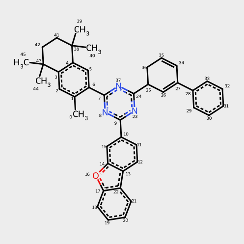 Cc1cc2c(cc1-c1nc(-c3ccc4c(c3)oc3ccccc34)nc(C3C=C(c4ccccc4)C=CC3)n1)C(C)(C)CCC2(C)C